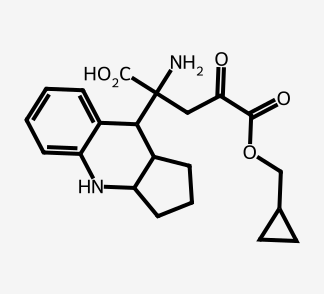 NC(CC(=O)C(=O)OCC1CC1)(C(=O)O)C1c2ccccc2NC2CCCC21